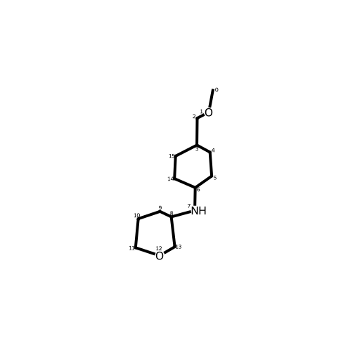 COCC1CCC(NC2CCCOC2)CC1